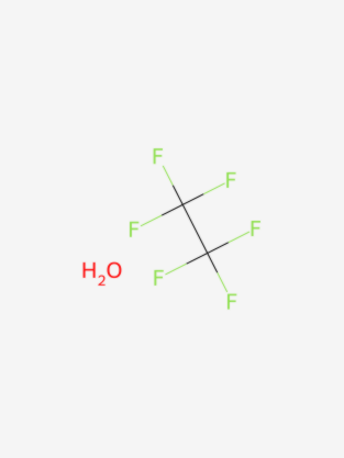 FC(F)(F)C(F)(F)F.O